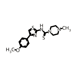 COc1ccc(-c2csc(NC(=S)N3CCN(C)CC3)n2)cc1